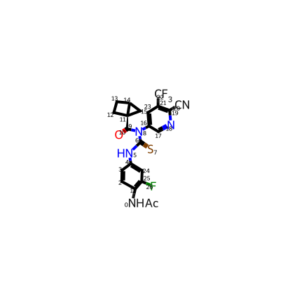 CC(=O)Nc1ccc(NC(=S)N(C(=O)[C@@]23CCC2C3)c2cnc(C#N)c(C(F)(F)F)c2)cc1F